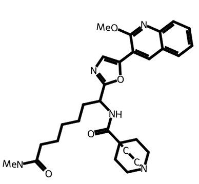 CNC(=O)CCCCCC(NC(=O)C12CCN(CC1)CC2)c1ncc(-c2cc3ccccc3nc2OC)o1